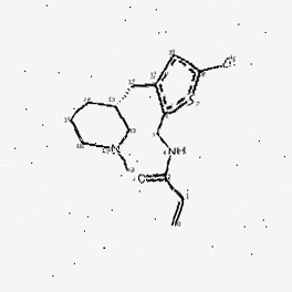 C=CC(=O)NCc1sc(Cl)cc1C[C@H]1CCCN(C)C1